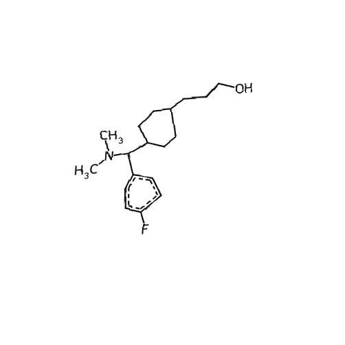 CN(C)C(c1ccc(F)cc1)C1CCC(CCCO)CC1